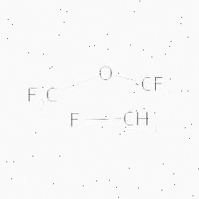 CF.FC(F)(F)OC(F)(F)F